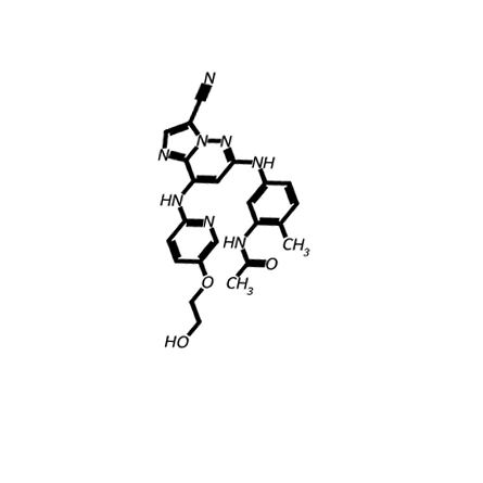 CC(=O)Nc1cc(Nc2cc(Nc3ccc(OCCO)cn3)c3ncc(C#N)n3n2)ccc1C